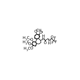 CCOc1c(OC)c(OC)cc2c1-c1ccc(OC)c(=O)cc1C(NC(=O)CNC(=O)C(F)(F)F)CC2